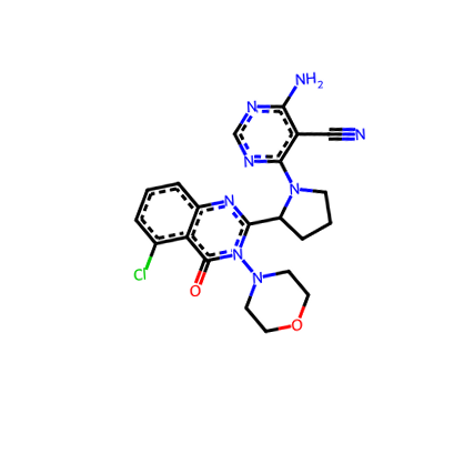 N#Cc1c(N)ncnc1N1CCCC1c1nc2cccc(Cl)c2c(=O)n1N1CCOCC1